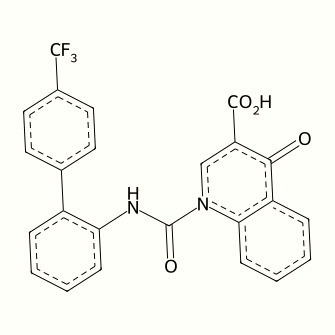 O=C(O)c1cn(C(=O)Nc2ccccc2-c2ccc(C(F)(F)F)cc2)c2ccccc2c1=O